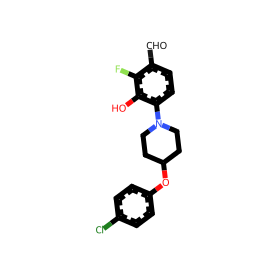 O=Cc1ccc(N2CCC(Oc3ccc(Cl)cc3)CC2)c(O)c1F